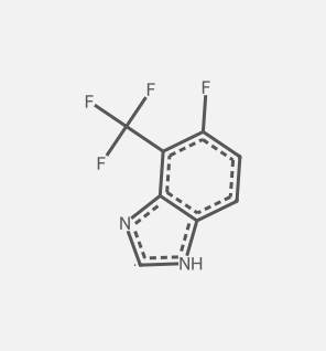 Fc1ccc2[nH][c]nc2c1C(F)(F)F